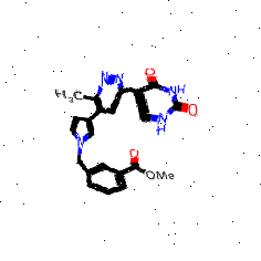 COC(=O)c1cccc(Cn2ccc(-c3cc(-c4c[nH]c(=O)[nH]c4=O)nnc3C)c2)c1